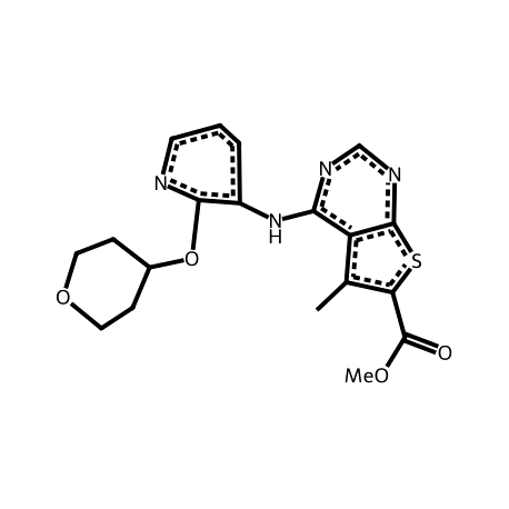 COC(=O)c1sc2ncnc(Nc3cccnc3OC3CCOCC3)c2c1C